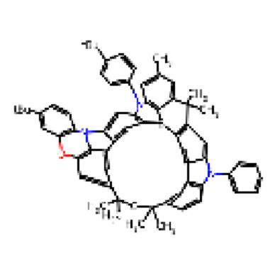 Cc1cc2c3c(c1)C(C)(C)c1cc4c5cc1B3c1cc3c6cc(cc7c6n(c3cc1N2c1ccc(C(C)(C)C)cc1)-c1ccc(C(C)(C)C)cc1O7)C(C)(C)CC(C)(C)c1ccc(c5c1)n4-c1ccccc1